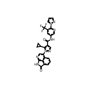 O=C(Nc1cnc(-n2cccn2)c(C(F)(F)F)c1)c1cnn(-c2cnc3c4c(cccc24)C(=O)N3)c1C1CC1